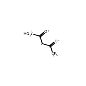 O=C(O)C(=O)CC(=O)C(F)(F)F